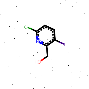 OCc1nc(Cl)ccc1I